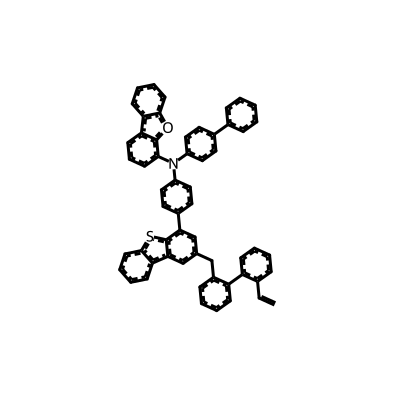 C=Cc1ccccc1-c1ccccc1Cc1cc(-c2ccc(N(c3ccc(-c4ccccc4)cc3)c3cccc4c3oc3ccccc34)cc2)c2sc3ccccc3c2c1